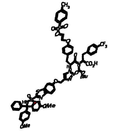 COc1ccc(C(NS(=O)(=O)c2nc3ccc(OCc4cn([C@@H](Cc5ccc(OCCOS(=O)(=O)c6ccc(C)cc6)cc5)C(=O)N(C(=O)OC(C)(C)C)C(Cc5ccc(C(F)(F)F)cc5)C(=O)O)nn4)cc3s2)(c2ccccc2)c2ccc(OC)cc2)cc1